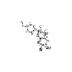 CCc1ccc(P(=S)(NC)Oc2nc(Br)c(Br)cc2Br)cc1